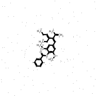 C=C(C)C(=C/c1cc(OC)c(OC(=O)c2ccccc2)c(OC)c1)/C(=C/CC)CC